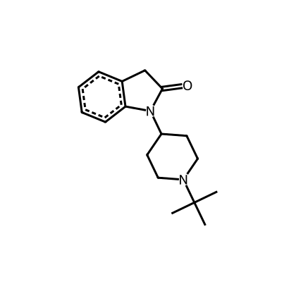 CC(C)(C)N1CCC(N2C(=O)Cc3ccccc32)CC1